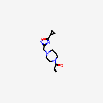 C=CC(=O)N1CCCN(Cc2noc(C3CC3)n2)CC1